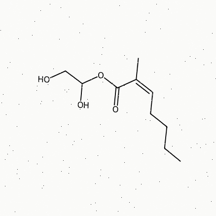 CCCCC=C(C)C(=O)OC(O)CO